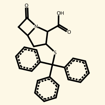 O=C(O)C1C(SC(c2ccccc2)(c2ccccc2)c2ccccc2)CC2CC(=O)N21